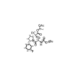 CCC(CC)(C(=O)OC(C)OC(C)=O)[C@H]1CC[C@@H](c2cccc(F)c2)N1C(=O)[C@@H](C)NC(=O)OC(C)(C)C